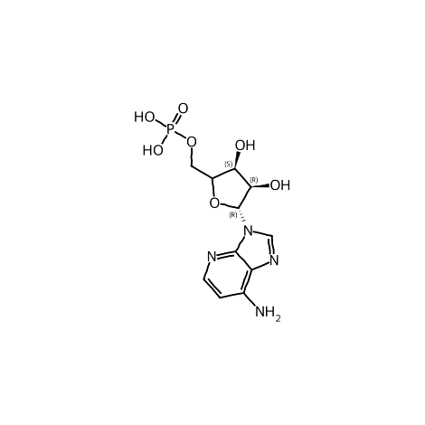 Nc1ccnc2c1ncn2[C@@H]1OC(COP(=O)(O)O)[C@@H](O)[C@H]1O